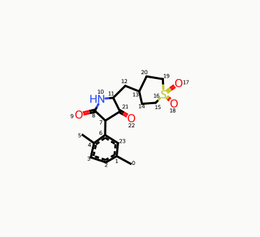 Cc1ccc(C)c(C2C(=O)NC(CC3CCS(=O)(=O)CC3)C2=O)c1